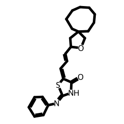 O=C1N/C(=N/c2ccccc2)S/C1=C/C=C/C1CC2(CCCCCCCC2)CO1